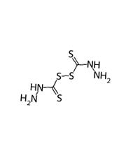 NNC(=S)SSC(=S)NN